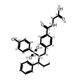 CCC(c1ccccc1)N(Cc1ccc(C(=O)NCC(=O)O)cc1)S(=O)(=O)c1ccc(Cl)cc1